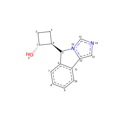 O[C@@H]1CC[C@H]1C1c2ccccc2-c2cncn21